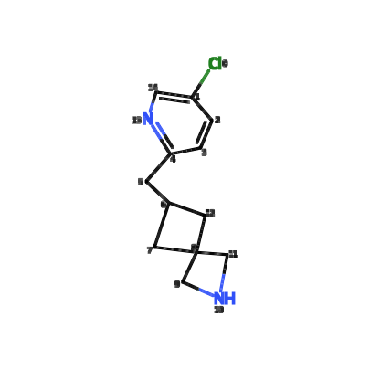 Clc1ccc(CC2CC3(CNC3)C2)nc1